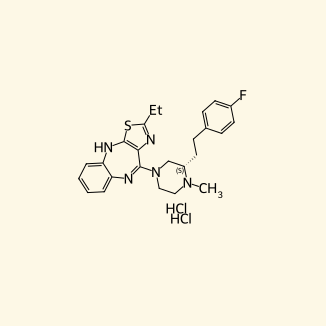 CCc1nc2c(s1)Nc1ccccc1N=C2N1CCN(C)[C@@H](CCc2ccc(F)cc2)C1.Cl.Cl